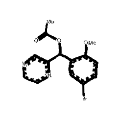 COc1ccc(Br)cc1C(OC(=O)C(C)(C)C)c1cnccn1